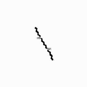 [CH2]CCCCCNCCCCCCNCCCCCC